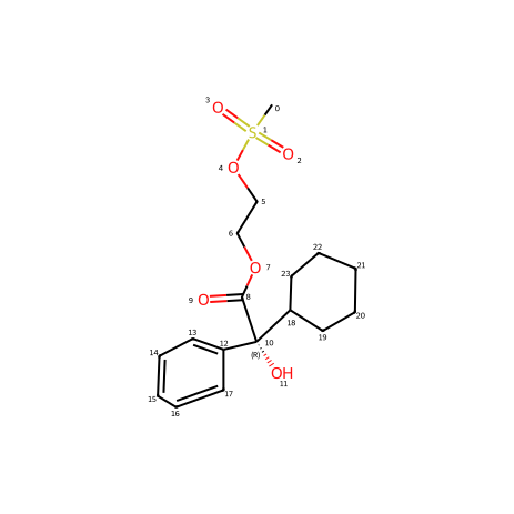 CS(=O)(=O)OCCOC(=O)[C@](O)(c1ccccc1)C1CCCCC1